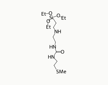 CCO[Si](CCNCCNC(=O)NCCSC)(OCC)OCC